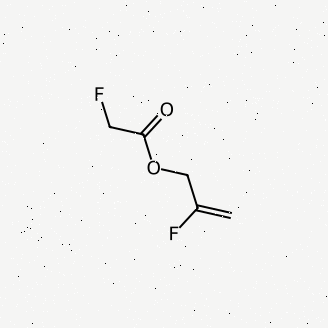 C=C(F)COC(=O)CF